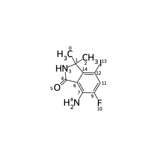 CC1(C)NC(=O)c2c(N)c(F)cc(I)c21